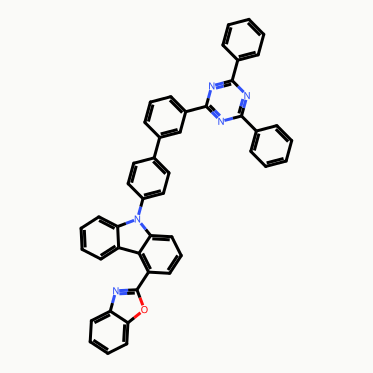 c1ccc(-c2nc(-c3ccccc3)nc(-c3cccc(-c4ccc(-n5c6ccccc6c6c(-c7nc8ccccc8o7)cccc65)cc4)c3)n2)cc1